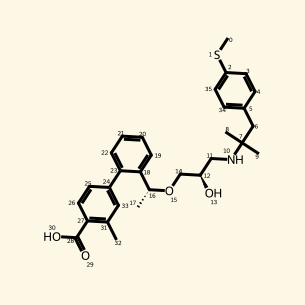 CSc1ccc(CC(C)(C)NC[C@@H](O)CO[C@H](C)c2ccccc2-c2ccc(C(=O)O)c(C)c2)cc1